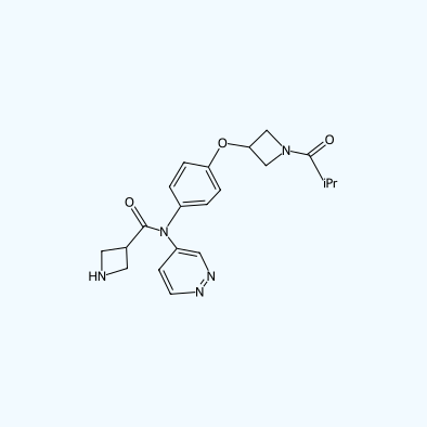 CC(C)C(=O)N1CC(Oc2ccc(N(C(=O)C3CNC3)c3ccnnc3)cc2)C1